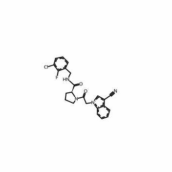 N#Cc1cn(CC(=O)N2CCC[C@H]2C(=O)NCc2cccc(Cl)c2F)c2ccccc12